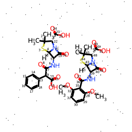 CC1(C)S[C@@H]2[C@H](NC(=O)C(C(=O)O)c3ccccc3)C(=O)N2[C@H]1C(=O)O.COc1cccc(OC)c1C(=O)N[C@@H]1C(=O)N2[C@@H]1SC(C)(C)[C@@H]2C(=O)O